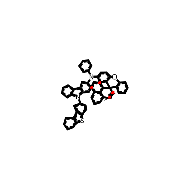 c1ccc(N(c2ccc3c(c2)C2(c4ccccc4O3)c3ccccc3-c3cccc4cccc2c34)c2ccc3c(c2)c2ccccc2n3-c2ccc3sc4ccccc4c3c2)cc1